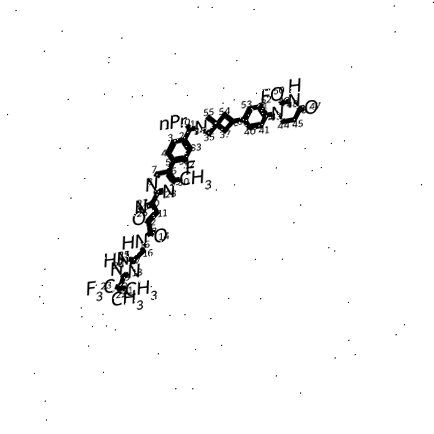 CCCC(c1ccc(-c2cnc(-c3cc(C(=O)NCc4nc(C(C)(C)C(F)(F)F)n[nH]4)on3)nc2C)c(F)c1)N1CC2(CC(c3ccc(N4CCC(=O)NC4=O)c(F)c3)C2)C1